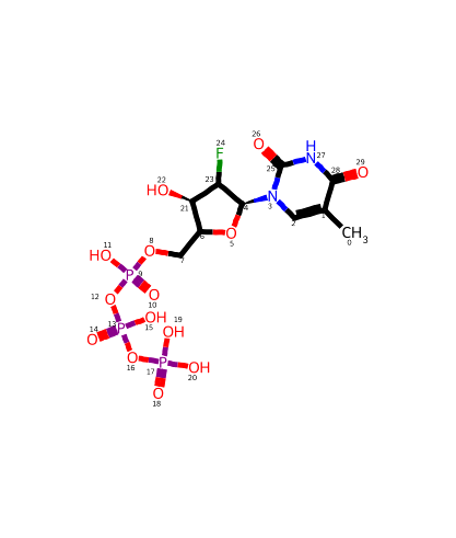 Cc1cn([C@H]2OC(COP(=O)(O)OP(=O)(O)OP(=O)(O)O)[C@@H](O)C2F)c(=O)[nH]c1=O